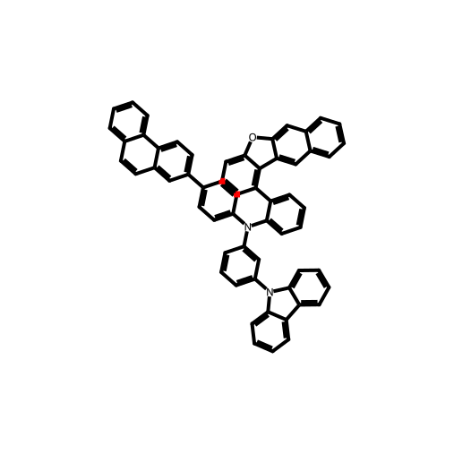 c1cc(N(c2ccc(-c3ccc4c(ccc5ccccc54)c3)cc2)c2ccccc2-c2cccc3oc4cc5ccccc5cc4c23)cc(-n2c3ccccc3c3ccccc32)c1